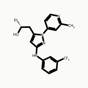 CC[C@@H](O)Cc1cc(Nc2cccc(C(F)(F)F)c2)nn1-c1ccnc(C)c1